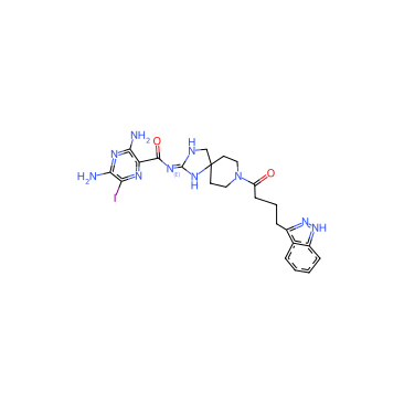 Nc1nc(N)c(C(=O)/N=C2\NCC3(CCN(C(=O)CCCc4n[nH]c5ccccc45)CC3)N2)nc1I